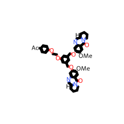 COc1cc2c(cc1OCc1cc(COc3cc4c(cc3OC)C(=O)N3CCCC[C@H]3C=N4)cc(OCCOc3ccc(C(C)=O)cc3)c1)N=C[C@@H]1CCCCN1C2=O